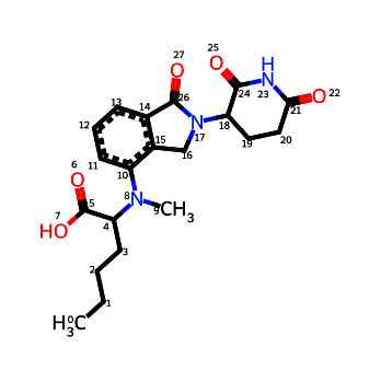 CCCCC(C(=O)O)N(C)c1cccc2c1CN(C1CCC(=O)NC1=O)C2=O